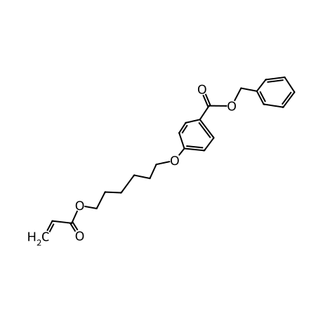 C=CC(=O)OCCCCCCOc1ccc(C(=O)OCc2ccccc2)cc1